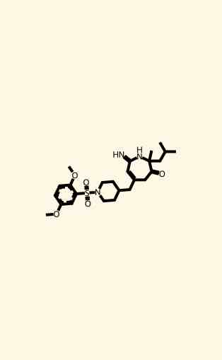 COc1ccc(OC)c(S(=O)(=O)N2CCC(CC3=CC(=N)NC(C)(CC(C)C)C(=O)C3)CC2)c1